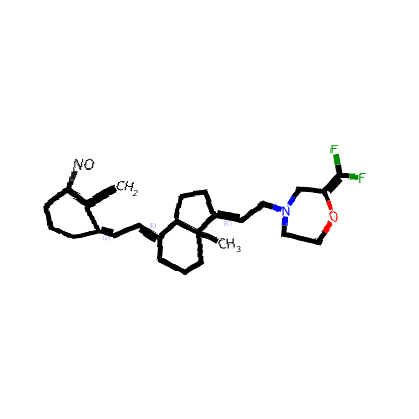 C=C1/C(=C\C=C2/CCCC3(C)/C(=C/CN4CCOC(=C(F)F)C4)CCC23)CCCC1N=O